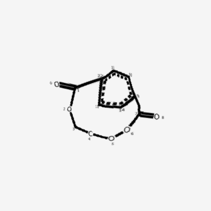 O=C1OCCOOC(=O)c2ccc1cc2